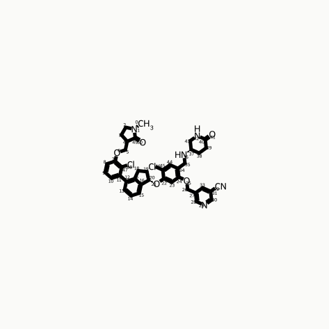 CN1CCC(COc2cccc(-c3cccc4c3CC[C@@H]4Oc3cc(OCc4cncc(C#N)c4)c(CN[C@H]4CCC(=O)NC4)cc3Cl)c2Cl)C1=O